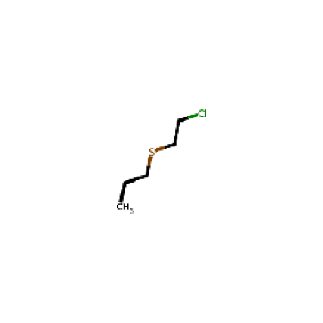 CCCSCCCl